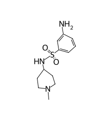 CN1CCC(NS(=O)(=O)c2cccc(N)c2)CC1